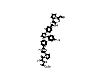 COC(=O)N[C@H](C(=O)N1CCC[C@H]1c1c[nH]c(-c2ccc([C@H]3CC[C@H](c4ccc(-c5nc([C@@H]6CCCN6C(=O)[CH]C(C)C)c[nH]5)cc4)N3c3ccc(C(C)(C)C)cc3)cc2)n1)C(C)C